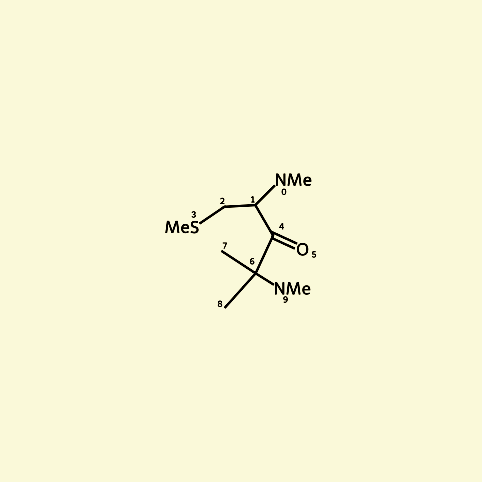 CNC(CSC)C(=O)C(C)(C)NC